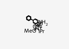 COC(=O)C(C(C)C)N(C)S(=O)(=O)C1(N)C=CC(c2ccccc2)C=C1